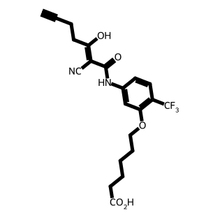 C#CCC/C(O)=C(\C#N)C(=O)Nc1ccc(C(F)(F)F)c(OCCCCCC(=O)O)c1